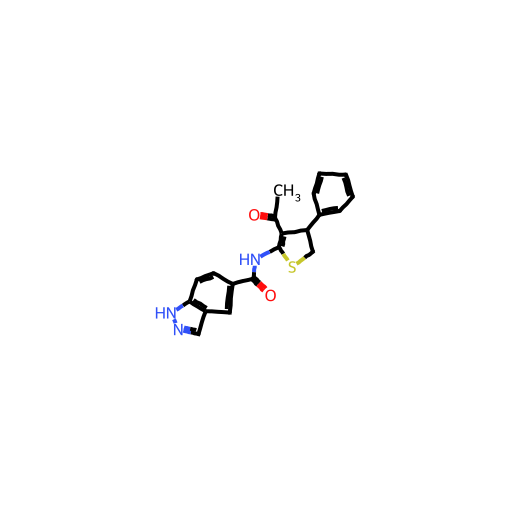 CC(=O)C1=C(NC(=O)c2ccc3[nH]ncc3c2)SCC1c1ccccc1